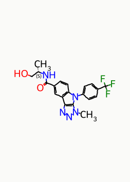 C[C@@H](CO)NC(=O)c1ccc2c(c1)c1nnn(C)c1n2-c1ccc(C(F)(F)F)cc1